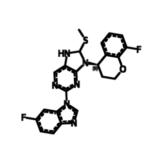 CSC1Nc2cnc(-n3cnc4ccc(F)cc43)nc2N1[C@@H]1CCOc2c(F)cccc21